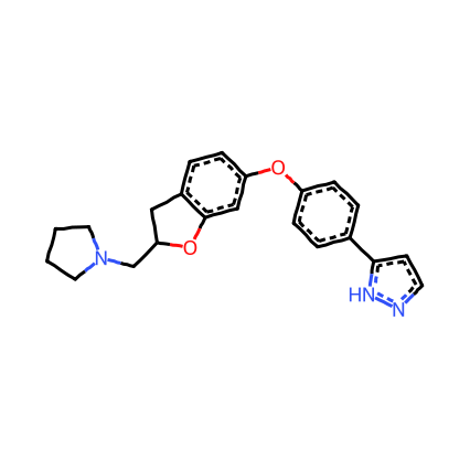 c1cc(-c2ccc(Oc3ccc4c(c3)OC(CN3CCCC3)C4)cc2)[nH]n1